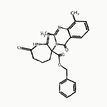 Cc1cccc2c(=O)n(C3(C(=O)OCc4ccccc4)CCCC(=O)NC3=O)c(C)nc12